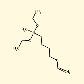 C=COCCCC[Si](C)(OCC)OCC